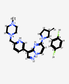 CCN1CCN(Cc2ccc(-c3cnn4ccc(N5CC[C@@H](C)[C@@H]5c5cc(F)ccc5F)nc34)cn2)CC1